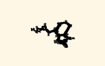 COCc1cccc2nsnc12